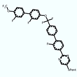 CCCCCc1cnc(-c2ccc(-c3ccc(C(F)(F)Oc4ccc(-c5ccc(OC(F)(F)F)c(F)c5)c(F)c4)cc3)c(F)c2)nc1